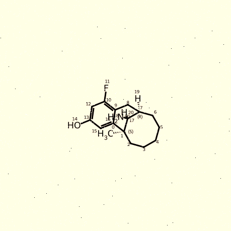 C[C@]12CCCCC[C@H](Cc3c(F)cc(O)cc31)[C@H]2N